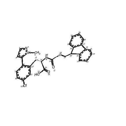 Cn1nccc1-c1ccc(Cl)cc1C[C@H](NC(=O)OCC1c2ccccc2-c2ccccc21)C(=O)O